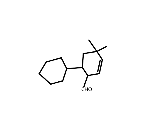 CC1(C)C=CC(C=O)C(C2CCCCC2)C1